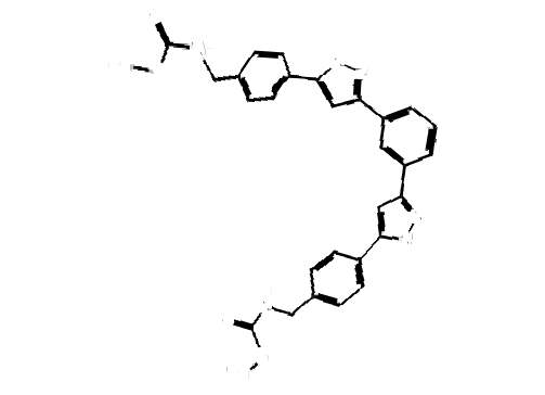 CC(C)(C)OC(=O)NCc1ccc(-c2cc(-c3cccc(-c4cc(-c5ccc(CNC(=O)OC(C)(C)C)cc5)[nH]n4)c3)n[nH]2)cc1